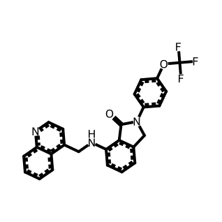 O=C1c2c(cccc2NCc2ccnc3ccccc23)CN1c1ccc(OC(F)(F)F)cc1